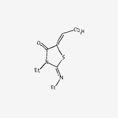 CC/N=C1/S/C(=C\C(=O)O)C(=O)N1CC